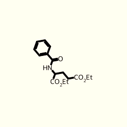 CCOC(=O)CCC(NC(=O)c1ccccc1)C(=O)OCC